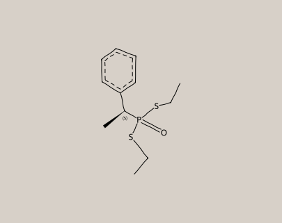 CCSP(=O)(SCC)[C@@H](C)c1ccccc1